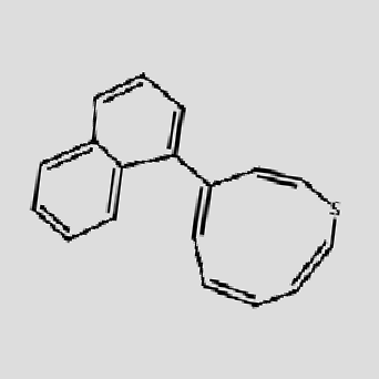 c1ccsccc(-c2cccc3ccccc23)cc1